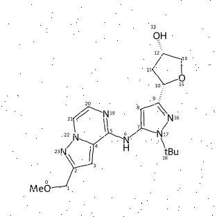 COCc1cc2c(Nc3cc([C@@H]4C[C@H](O)CO4)nn3C(C)(C)C)nccn2n1